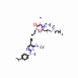 CCCNc1nc(Nc2ccc(C(C)C)cc2)ncc1C#CCCCNC(=O)[C@H](C)N(C)C(=O)/C=C/CN(C)C